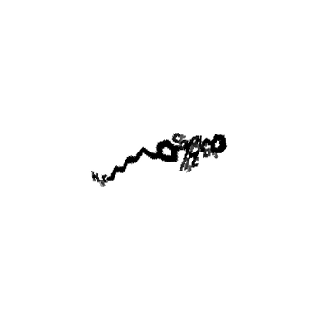 CCCCCCCCc1ccc(OC(C)OC(C)[N+](C)(C)Cc2ccccc2)cc1.[Cl-]